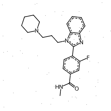 CNC(=O)c1ccc(-c2nc3ccccc3n2CCCN2CCCCC2)c(F)c1